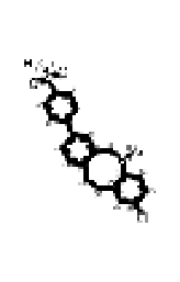 CC(=O)N1Cc2cc(-c3ccc(S(C)(=O)=O)cc3)ccc2CCc2cc(Cl)ccc21